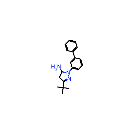 CC(C)(C)C1=NN(c2cccc(-c3ccccc3)c2)C(N)C1